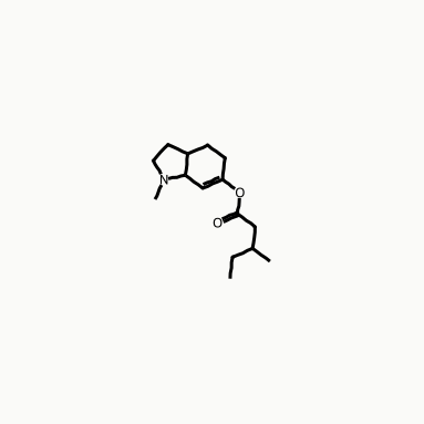 CCC(C)CC(=O)OC1=CC2C(CC1)CCN2C